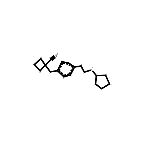 N#CC1(Cc2ccc(CCSC3CCCC3)cc2)CCC1